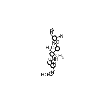 Cc1c(Nc2nccc3cc(CN4CC[C@@H](O)C4)cnc23)cccc1-c1cccc(-c2nc3cc(CN4CCC4)cc(C#N)c3o2)c1C